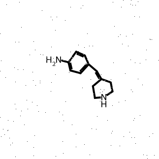 Nc1ccc(C=C2CCNCC2)cc1